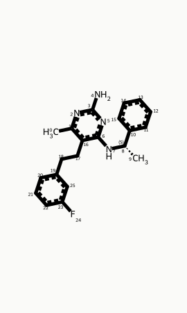 Cc1nc(N)nc(N[C@@H](C)c2ccccc2)c1CCc1cccc(F)c1